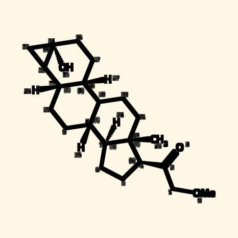 COCC(=O)[C@H]1CC[C@H]2[C@@H]3CC[C@@H]4C5C[C@@]5(O)CC[C@@H]4C3CC[C@]12C